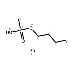 CCCCOP(C)(=O)O.[Zn]